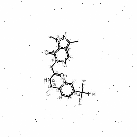 Cc1nn(C)c2c(=O)n(CC(=O)N[C@@H](C)c3ccc(C(F)(F)F)cn3)ncc12